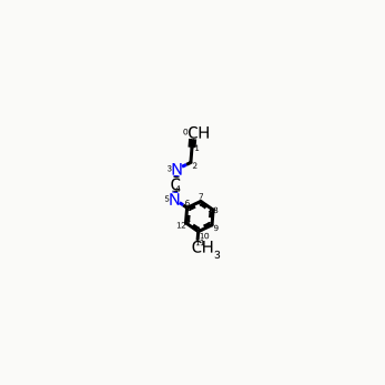 C#CCN=C=Nc1cccc(C)c1